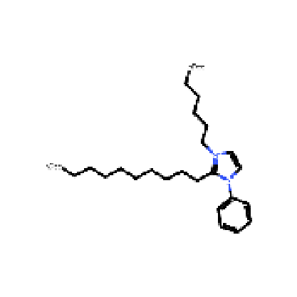 CCCCCCCCCCCCCCCCCCCc1n(-c2ccccc2)cc[n+]1CCCCCCCCCCCCCCC